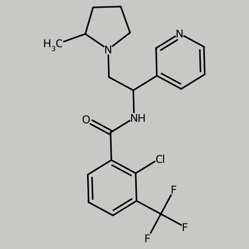 CC1CCCN1CC(NC(=O)c1cccc(C(F)(F)F)c1Cl)c1cccnc1